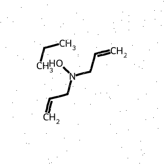 C=CCN(O)CC=C.CCC